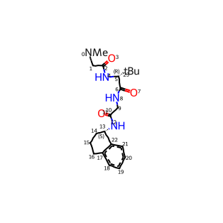 CNCC(=O)N[C@@H](C(=O)NCC(=O)N[C@H]1CCCc2ccccc21)C(C)(C)C